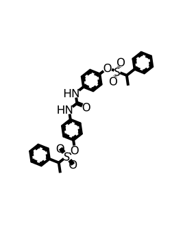 CC(c1ccccc1)S(=O)(=O)Oc1ccc(NC(=O)Nc2ccc(OS(=O)(=O)C(C)c3ccccc3)cc2)cc1